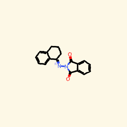 O=C1c2ccccc2C(=O)N1/N=C1\CCCc2ccccc21